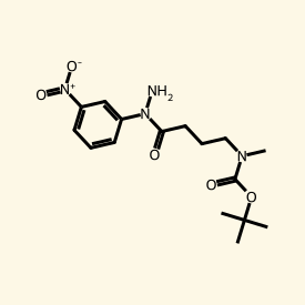 CN(CCCC(=O)N(N)c1cccc([N+](=O)[O-])c1)C(=O)OC(C)(C)C